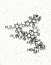 CCc1ccc(COc2ccc(-n3c(=O)cc(C(F)(F)F)n(C)c3=O)cc2)c(OC(C)C(=O)OC)c1.CS(=O)(=O)c1ccc(C(=O)C2C(=O)CCCC2=O)c([N+](=O)[O-])c1.C[S+](C)C.O=C(O)CNCP(=O)([O-])O